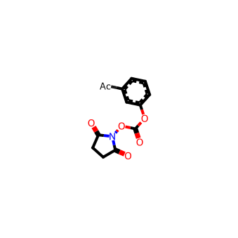 CC(=O)c1cccc(OC(=O)ON2C(=O)CCC2=O)c1